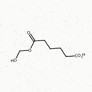 O=C(O)CCCCC(=O)OCO